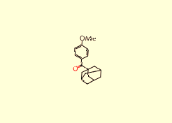 COc1ccc(C(=O)C23CC4CC(CC(C4)C2)C3)cc1